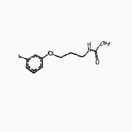 O=C(O)NCCCOc1cccc(I)c1